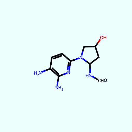 Nc1ccc(N2CC(O)CC2NC=O)nc1N